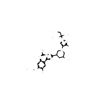 COc1cc2nc(N)n3nc(C4CC(C)CN(c5cn(C(C)(C)CO)nc5C)C4)nc3c2cc1F